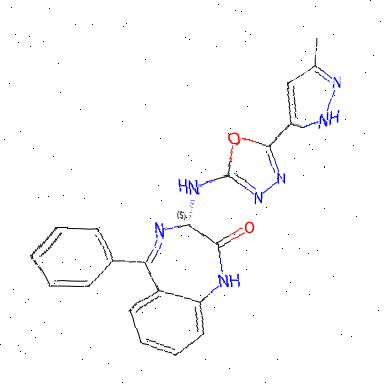 Cc1cc(-c2nnc(N[C@H]3N=C(c4ccccc4)c4ccccc4NC3=O)o2)[nH]n1